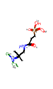 CC(C)(CNC(=O)CCS(=O)(=O)O)N(Cl)Cl